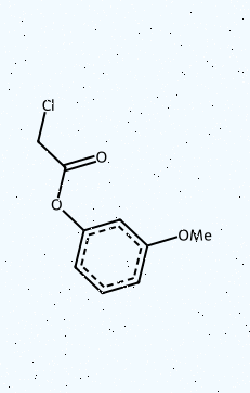 COc1cccc(OC(=O)CCl)c1